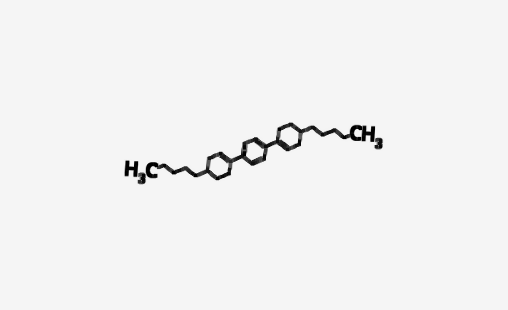 CCCCCC1CC=C(c2ccc(C3=CCC(CCCCC)CC3)cc2)CC1